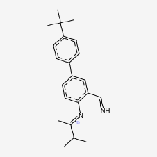 C/C(=N\c1ccc(-c2ccc(C(C)(C)C)cc2)cc1C=N)C(C)C